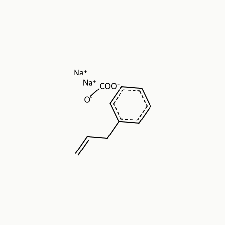 C=CCc1ccccc1.O=C([O-])[O-].[Na+].[Na+]